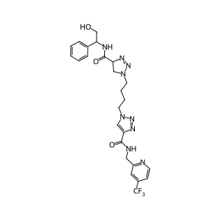 O=C(NCc1cc(C(F)(F)F)ccn1)c1cn(CCCCN2CC(C(=O)NC(CO)c3ccccc3)N=N2)nn1